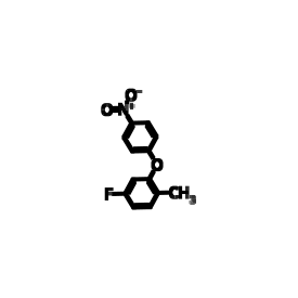 Cc1ccc(F)cc1Oc1ccc([N+](=O)[O-])cc1